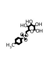 Cc1ccc(S(=O)(=O)OCC2O[C@@H](O)C(O)C(O)C2O)cc1